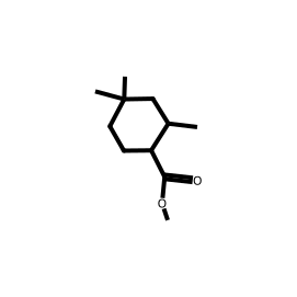 COC(=O)C1CCC(C)(C)CC1C